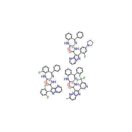 Cc1ccc2nc(-c3cncc(C(F)(F)F)c3)c(C(=O)N[C@H]3N=C(c4ccccc4)c4ccccc4NC3=O)n2n1.O=C(N[C@H]1N=C(c2ccccc2)c2cccc(F)c2NC1=O)c1c(-c2c(F)cccc2F)nn2cccnc12.O=C(N[C@H]1N=C(c2ccccc2)c2ccccc2NC1=O)c1c(-c2ccc(N3CCCC3)cc2F)nn2cccnc12